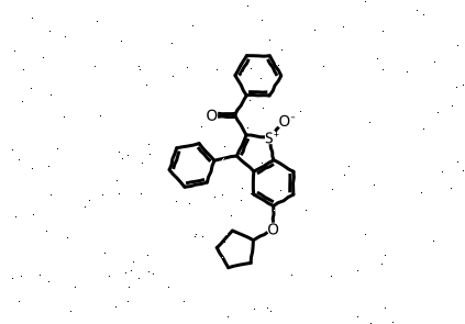 O=C(c1ccccc1)c1c(-c2ccccc2)c2cc(OC3CCCC3)ccc2[s+]1[O-]